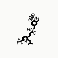 Cc1cc(CNC(=O)/C=C/c2ccc(C(F)(F)F)nc2CC(C)C)ccc1NS(C)(=O)=O